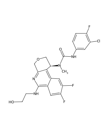 CN(C(=O)Nc1ccc(F)c(Cl)c1)[C@@H]1COCc2nc(NCCO)c3cc(F)c(F)cc3c21